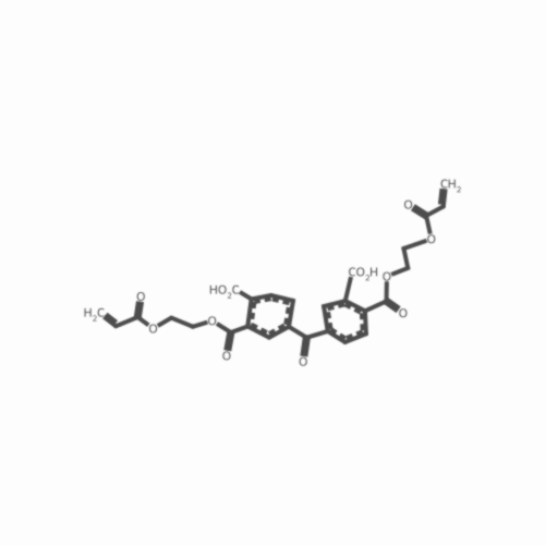 C=CC(=O)OCCOC(=O)c1ccc(C(=O)c2ccc(C(=O)O)c(C(=O)OCCOC(=O)C=C)c2)cc1C(=O)O